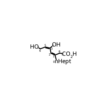 CCCCCCC/C(=C/C(O)=C\CO)CC(=O)O